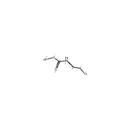 CCCOC(=O)NCC[O]